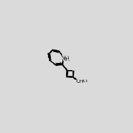 O=CC1CC(C2=CC=CC=CN2)C1